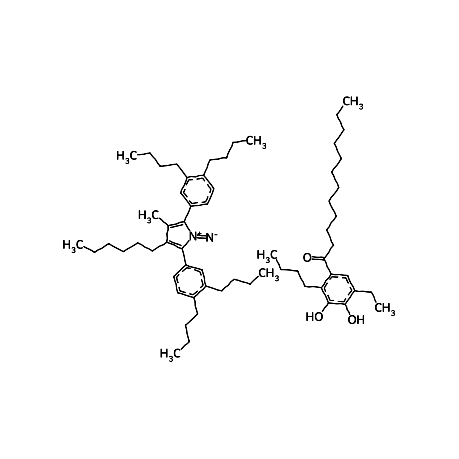 CCCCCCC1=C(c2ccc(CCCC)c(CCCC)c2)[N+](=[N-])C(c2ccc(CCCC)c(CCCC)c2)=C1C.CCCCCCCCCCCC(=O)c1cc(CC)c(O)c(O)c1CCCC